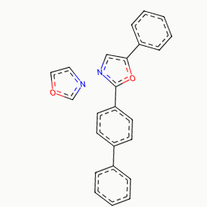 c1ccc(-c2ccc(-c3ncc(-c4ccccc4)o3)cc2)cc1.c1cocn1